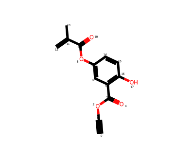 C#COC(=O)c1cc(OC(=O)C(=C)C)ccc1O